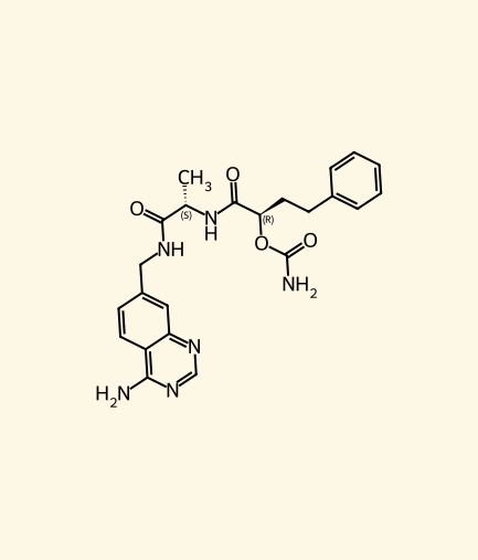 C[C@H](NC(=O)[C@@H](CCc1ccccc1)OC(N)=O)C(=O)NCc1ccc2c(N)ncnc2c1